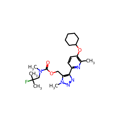 Cc1nc(-c2nnn(C)c2COC(=O)N(C)CC(C)(C)F)ccc1OC1CCCCC1